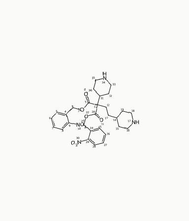 O=C(OCc1ccccc1[N+](=O)[O-])C(CCC1CCNCC1)(C(=O)OCc1ccccc1[N+](=O)[O-])C1CCNCC1